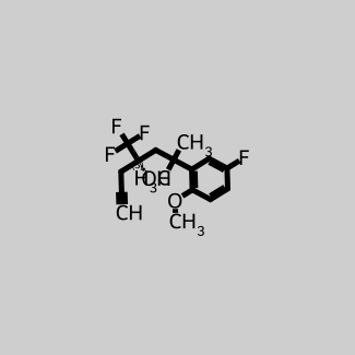 C#CC[C@](O)(CC(C)(C)c1cc(F)ccc1OC)C(F)(F)F